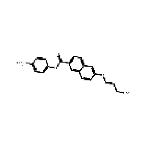 CC(=O)OCCCOc1ccc2cc(C(=O)Oc3ccc(C(=O)O)cc3)ccc2c1